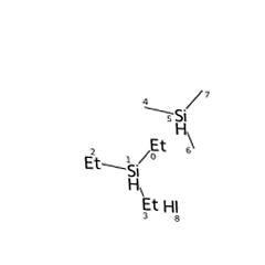 CC[SiH](CC)CC.C[SiH](C)C.I